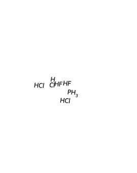 Cl.Cl.Cl.F.F.P